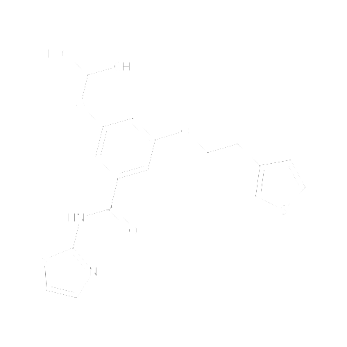 CC(C)Oc1cc(OCCc2ccsc2)cc(C(=O)Nc2nccs2)c1